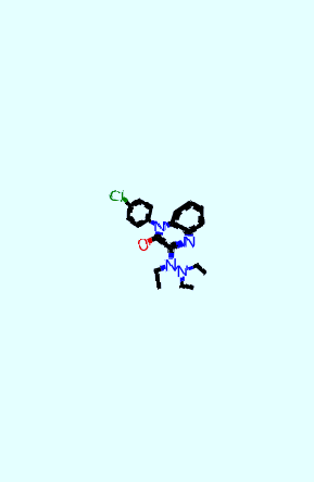 CCN(CC)N(CC)c1nc2ccccc2n(-c2ccc(Cl)cc2)c1=O